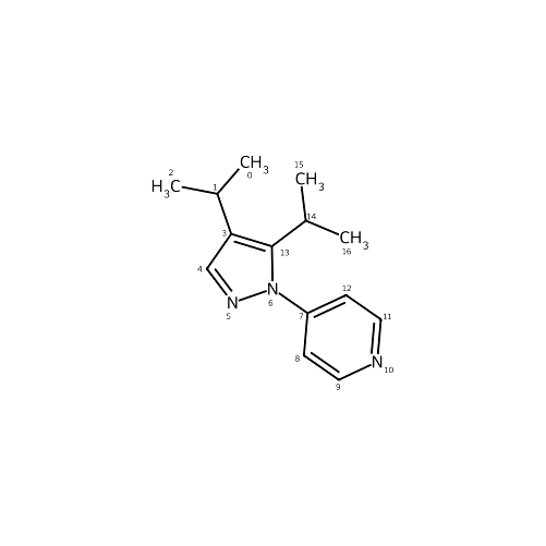 CC(C)c1cnn(-c2ccncc2)c1C(C)C